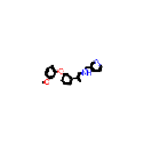 COc1cccc(O[C@@H]2CCC[C@H](C(C)CNCc3cccnc3)C2)c1